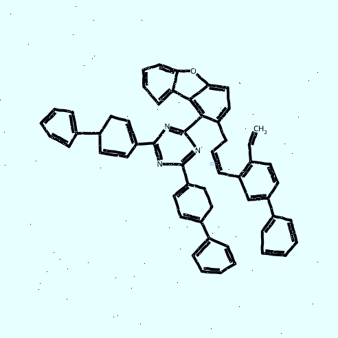 C=Cc1ccc(-c2ccccc2)cc1/C=C\Cc1ccc2oc3ccccc3c2c1-c1nc(C2=CCC(c3ccccc3)C=C2)nc(C2=CC=C(c3ccccc3)CC2)n1